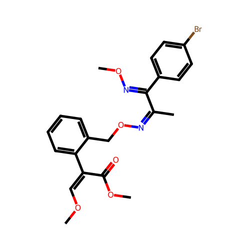 COC=C(C(=O)OC)c1ccccc1CON=C(C)C(=NOC)c1ccc(Br)cc1